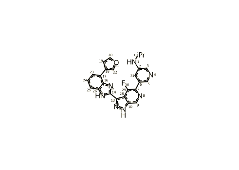 CC(C)Nc1cncc(-c2ncc3[nH]nc(-c4nc5c(-c6ccoc6)cccc5[nH]4)c3c2F)c1